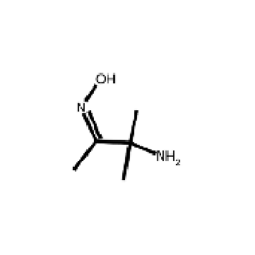 CC(=NO)C(C)(C)N